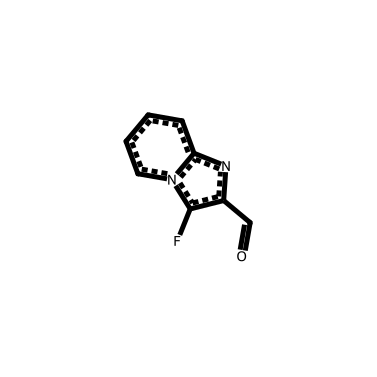 O=Cc1nc2ccccn2c1F